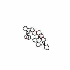 c1ccc(-c2ccccc2-c2c(-c3ccccc3)cccc2N(c2cccc(-c3ccc4c5ccccc5n(-c5ccccc5)c4c3)c2)c2cccc3c2c2ccccc2n3-c2ccccc2)cc1